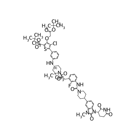 Cn1c(=O)n(C2CCC(=O)NC2=O)c2ccc(C3CCN(C(=O)Nc4cccc(CS(=O)(=O)N5CC[C@@H](Nc6cccc(-c7sc(C(=O)OC(C)(C)C)c(OCC(=O)OC(C)(C)C)c7Cl)c6)CC5(C)C)c4F)CC3)cc21